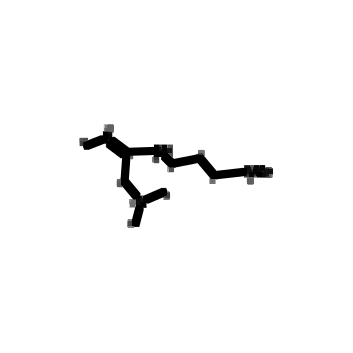 CNCCCN/C(CN(C)C)=P/C